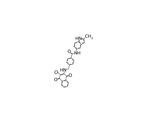 Cc1cc2cc(NC(=O)c3ccc(CNC4=C(Cl)C(=O)c5ccccc5C4=O)cc3)ccc2[nH]1